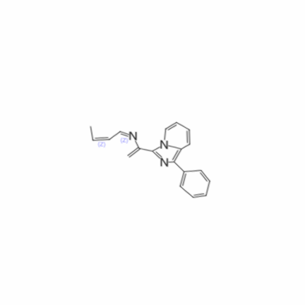 C=C(/N=C\C=C/C)c1nc(-c2ccccc2)c2ccccn12